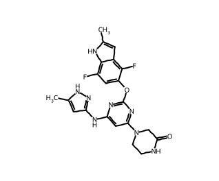 Cc1cc(Nc2cc(N3CCNC(=O)C3)nc(Oc3cc(F)c4[nH]c(C)cc4c3F)n2)n[nH]1